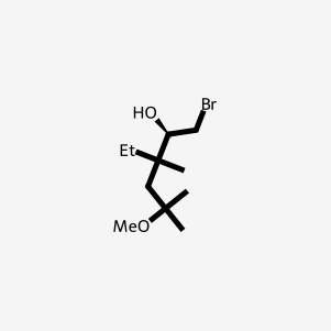 CCC(C)(CC(C)(C)OC)[C@@H](O)CBr